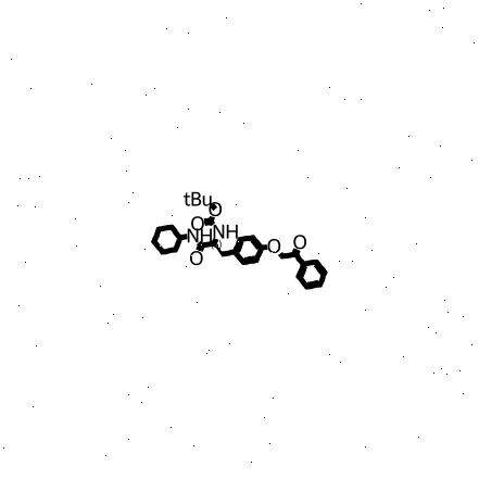 CC(C)(C)OC(=O)N[C@@H](Cc1ccc(OCC(=O)c2ccccc2)cc1)C(=O)NC1CCCCC1